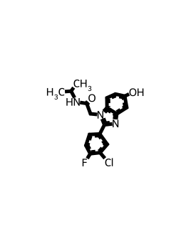 CC(C)NC(=O)Cn1c(-c2ccc(F)c(Cl)c2)nc2cc(O)ccc21